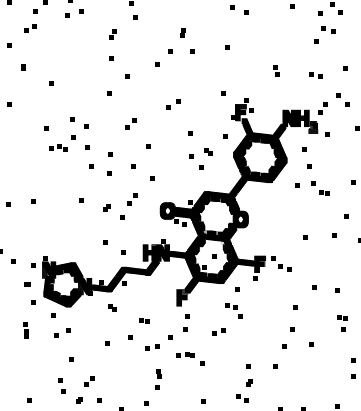 Nc1ccc(-c2cc(=O)c3c(NCCCn4ccnc4)c(F)cc(F)c3o2)cc1F